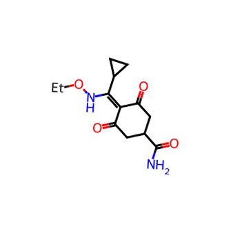 CCONC(=C1C(=O)CC(C(N)=O)CC1=O)C1CC1